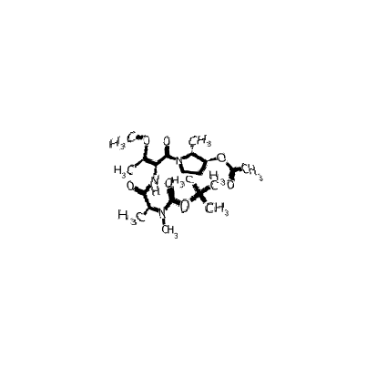 CO[C@H](C)[C@H](NC(=O)[C@H](C)N(C)C(=O)OC(C)(C)C)C(=O)N1CC[C@H](OC(C)=O)[C@H]1C